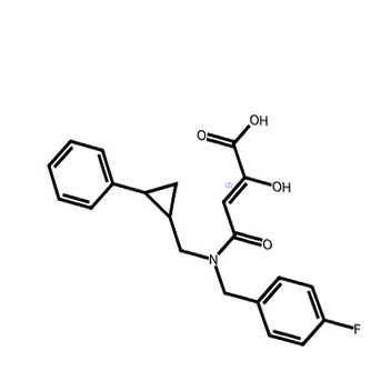 O=C(O)/C(O)=C/C(=O)N(Cc1ccc(F)cc1)CC1CC1c1ccccc1